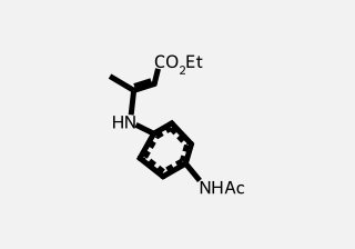 CCOC(=O)C=C(C)Nc1ccc(NC(C)=O)cc1